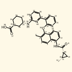 Cc1ccc2c(NC(=O)[C@@H]3C[C@@H]3C)cccc2c1Oc1ncccc1-c1ccnc(N[C@H]2CCCN(C(=O)O)C2)n1